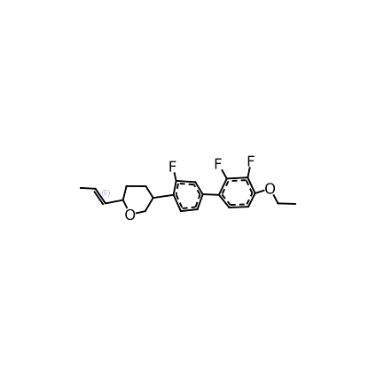 C/C=C/C1CCC(c2ccc(-c3ccc(OCC)c(F)c3F)cc2F)CO1